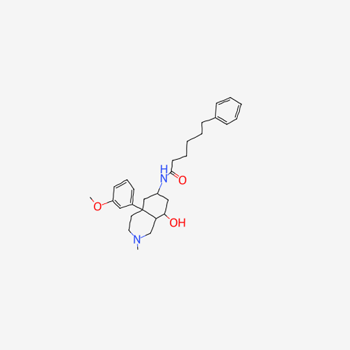 COc1cccc(C23CCN(C)CC2C(O)CC(NC(=O)CCCCCc2ccccc2)C3)c1